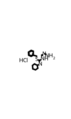 Cl.N/N=C\N/C(=N/C1CCCCC1)SCc1ccccc1